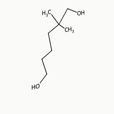 CC(C)(CO)CCCCO